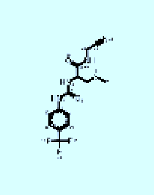 CSCC(NC(=O)Nc1ccc(C(F)(F)F)cc1)C(=O)NCC#N